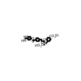 CCOC(=O)c1ccc(CN(CC(=O)O)C(=O)/C(C)=C/c2ccc(C(=O)Oc3ccc(C(=N)N)cc3)cc2)cc1